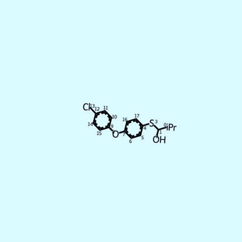 CC(C)C(O)Sc1ccc(Oc2ccc(Cl)cc2)cc1